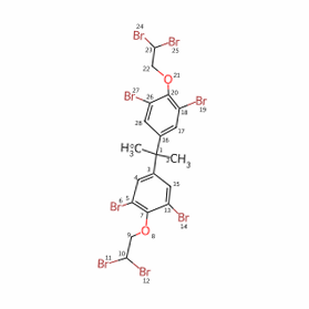 CC(C)(c1cc(Br)c(OCC(Br)Br)c(Br)c1)c1cc(Br)c(OCC(Br)Br)c(Br)c1